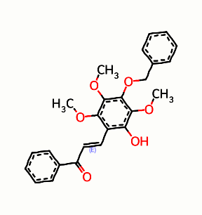 COc1c(O)c(/C=C/C(=O)c2ccccc2)c(OC)c(OC)c1OCc1ccccc1